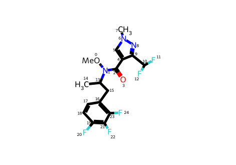 CON(C(=O)c1cn(C)nc1C(F)F)C(C)Cc1ccc(F)c(F)c1F